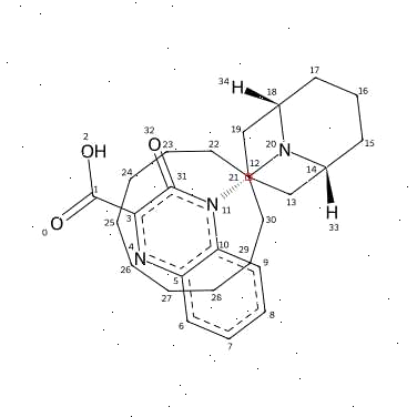 O=C(O)c1nc2ccccc2n([C@H]2C[C@H]3CCC[C@@H](C2)N3C2CCCCCCCCC2)c1=O